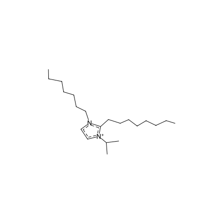 CCCCCCCCc1n(CCCCCCC)cc[n+]1C(C)C